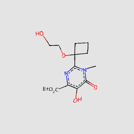 CCOC(=O)c1nc(C2(OCCO)CCC2)n(C)c(=O)c1O